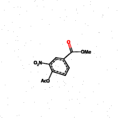 COC(=O)c1ccc(OC(C)=O)c([N+](=O)[O-])c1